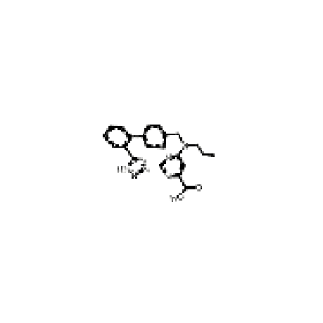 CCCN(Cc1ccc(-c2ccccc2-c2nnn[nH]2)cc1)c1cc(C(=O)O)ncn1